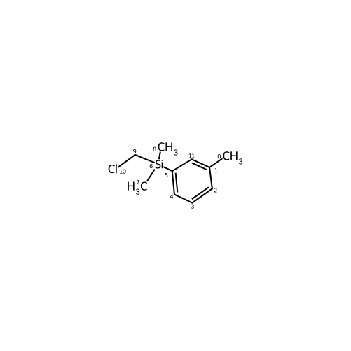 Cc1cccc([Si](C)(C)CCl)c1